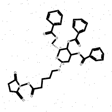 O=C(CCCCO[C@H]1CC(OC(=O)c2ccccc2)C(OC(=O)c2ccccc2)[C@@H](COC(=O)c2ccccc2)O1)ON1C(=O)CCC1=O